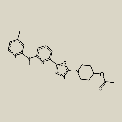 CC(=O)OC1CCN(c2ncc(-c3cccc(Nc4cc(C)ccn4)n3)s2)CC1